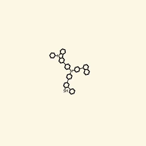 Sc1ccc(-c2ccc(N(c3ccc(-c4ccc5c(c4)c4ccccc4n5-c4ccccc4)cc3)c3ccc(-c4cccc5ccccc45)cc3)cc2)cc1-c1ccccc1